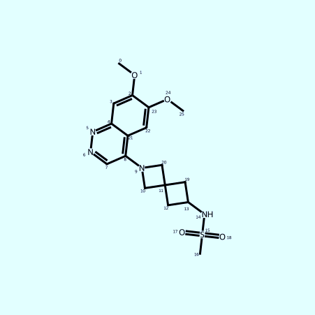 COc1cc2nncc(N3CC4(CC(NS(C)(=O)=O)C4)C3)c2cc1OC